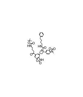 CC(C)(C)OC(=O)NCCCC(=O)c1ccc2[nH]c(=O)oc2c1.Cn1c(=O)oc2cc(C3CCCN3C(=O)NCCCCc3ccccc3)ccc21